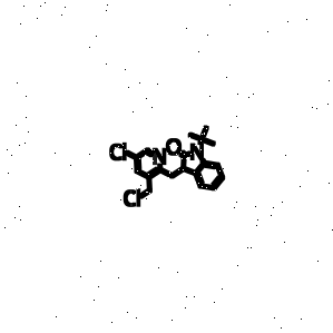 CC(C)(C)N1C(=O)C(Cc2ncc(Cl)cc2CCl)c2ccccc21